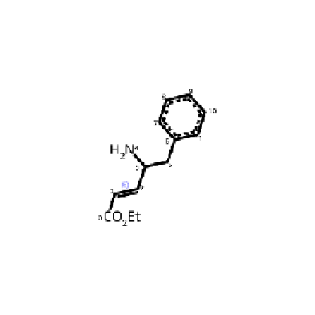 CCOC(=O)/C=C/C(N)Cc1ccccc1